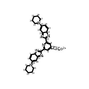 C1=CC2N=C(c3cccc(C4=NC5C=CC(N6CCCCC6)=CC5=N4)n3)N=C2C=C1N1CCCCC1.[Cl-].[Cl-].[Co+2]